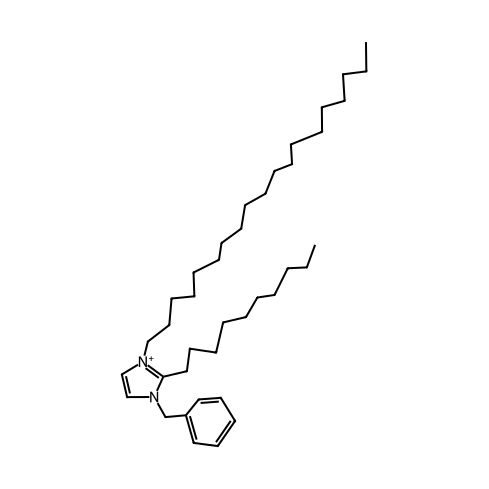 CCCCCCCCCCCCCCCCCCC[n+]1ccn(Cc2ccccc2)c1CCCCCCCCCC